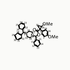 COc1ccc(C2(C(=O)OC(c3ccccc3)N3CCN(C(c4ccccc4)c4ccccc4)CC3)CC2OC)cc1